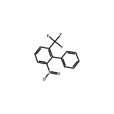 O=[N+]([O-])c1cc[c]c(C(F)(F)F)c1-c1ccccc1